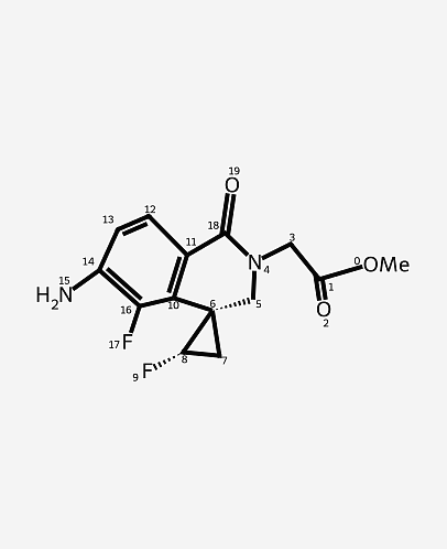 COC(=O)CN1C[C@@]2(C[C@@H]2F)c2c(ccc(N)c2F)C1=O